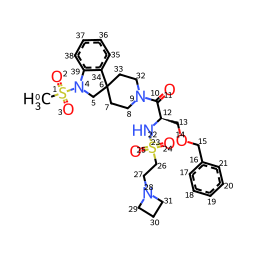 CS(=O)(=O)N1CC2(CCN(C(=O)[C@@H](COCc3ccccc3)NS(=O)(=O)CCN3CCC3)CC2)c2ccccc21